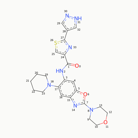 O=C(Nc1cc2oc(N3CCOCC3)nc2cc1N1CCCCC1)c1csc(-c2cn[nH]c2)n1